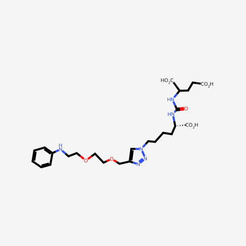 O=C(O)CCC(NC(=O)N[C@@H](CCCCn1cc(COCCOCCNc2ccccc2)nn1)C(=O)O)C(=O)O